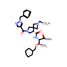 CNC(=O)[C@@H](NC(=O)[C@@H]1CN(C(=O)c2cnn(Cc3ccccc3)c2)CC12CN(CC(=O)O)C2)[C@@H](C)OCC1CCCCC1